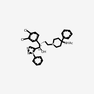 CC(=O)NC1(c2ccccc2)CCN(CC[C@@H](c2ccc(Cl)c(Cl)c2)[C@@H](O)c2cnnn2-c2ccccc2)CC1